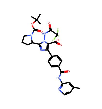 Cc1ccnc(NC(=O)c2ccc(-c3nc(C4CCCN4C(=O)OC(C)(C)C)n(NC(=O)C(F)(F)F)c3C(=O)O)cc2)c1